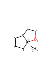 C[C@]12CCCC1CCO2